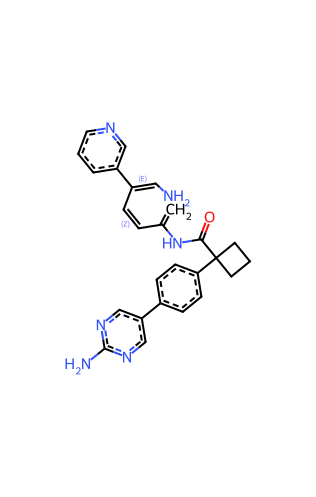 C=C(/C=C\C(=C/N)c1cccnc1)NC(=O)C1(c2ccc(-c3cnc(N)nc3)cc2)CCC1